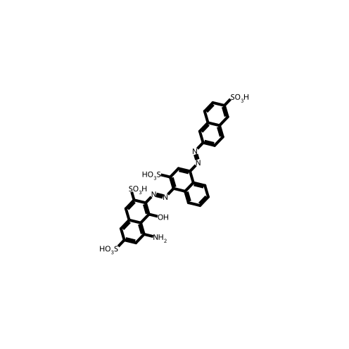 Nc1cc(S(=O)(=O)O)cc2cc(S(=O)(=O)O)c(N=Nc3c(S(=O)(=O)O)cc(N=Nc4ccc5cc(S(=O)(=O)O)ccc5c4)c4ccccc34)c(O)c12